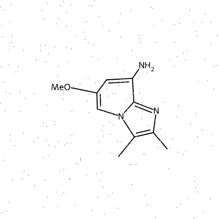 COc1cc(N)c2nc(C)c(C)n2c1